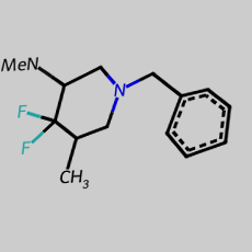 CNC1CN(Cc2ccccc2)CC(C)C1(F)F